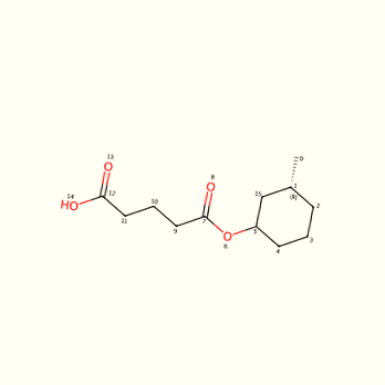 C[C@@H]1CCCC(OC(=O)CCCC(=O)O)C1